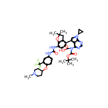 CN1CCC(Oc2ccc(NC(=O)Nc3ccc(-c4cn(C5CC5)c5ncnc(N(C(=O)O)C(=O)OC(C)(C)C)c45)c4c3OC(C)(C)C4)cc2C(F)(F)F)CC1